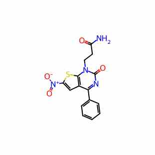 NC(=O)CCn1c(=O)nc(-c2ccccc2)c2cc([N+](=O)[O-])sc21